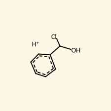 OC(Cl)c1ccccc1.[H+]